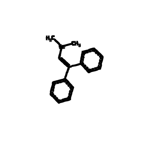 [CH3][Sn]([CH3])[CH]=C(c1ccccc1)c1ccccc1